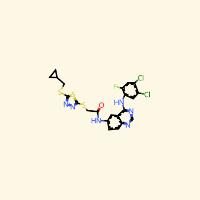 O=C(CSc1nnc(SCC2CC2)s1)Nc1ccc2ncnc(Nc3cc(Cl)c(Cl)cc3F)c2c1